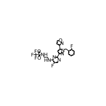 O=S(=O)(NCCNc1nc(-c2cc(-c3ccon3)n(Cc3ccccc3F)n2)ncc1F)C(F)(F)F